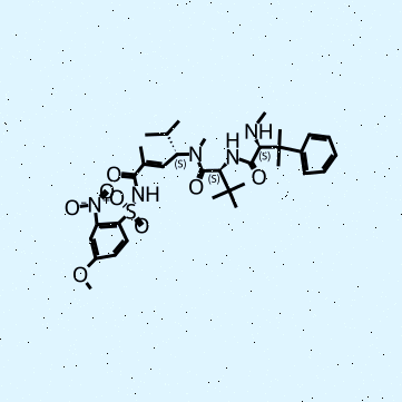 CN[C@H](C(=O)N[C@H](C(=O)N(C)[C@H](C=C(C)C(=O)NS(=O)(=O)c1ccc(OC)cc1[N+](=O)[O-])C(C)C)C(C)(C)C)C(C)(C)c1ccccc1